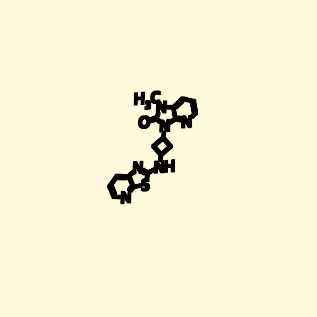 Cn1c(=O)n(C2CC(Nc3nc4cccnc4s3)C2)c2ncccc21